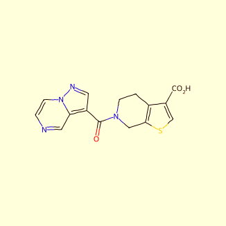 O=C(O)c1csc2c1CCN(C(=O)c1cnn3ccncc13)C2